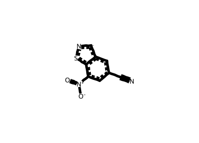 N#Cc1cc([N+](=O)[O-])c2sn[c]c2c1